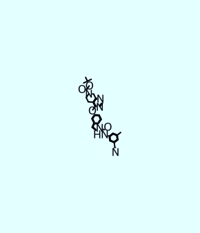 Cc1cc(C#N)cc(NC(=O)n2ccc3cc(Oc4ncnc5c4CCN(C(=O)OC(C)(C)C)C5)ccc32)c1